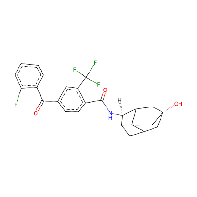 O=C(c1ccc(C(=O)N[C@H]2C3CC4CC2C[C@](O)(C4)C3)c(C(F)(F)F)c1)c1ccccc1F